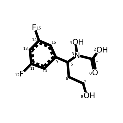 O=C(O)N(O)C(CCO)c1cc(F)cc(F)c1